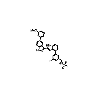 COc1cncc(-c2ccc3[nH]nc(-c4cc5c(-c6cc(F)cc(CNS(C)(=O)=O)c6)cccc5[nH]4)c3c2)c1